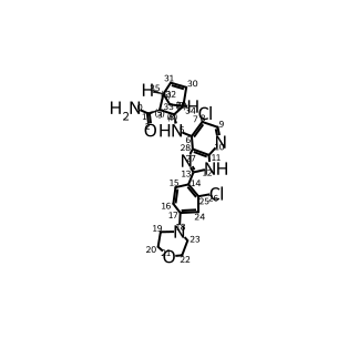 NC(=O)[C@@H]1[C@H](Nc2c(Cl)cnc3[nH]c(-c4ccc(N5CCOCC5)cc4Cl)nc23)[C@H]2C=C[C@@H]1C2